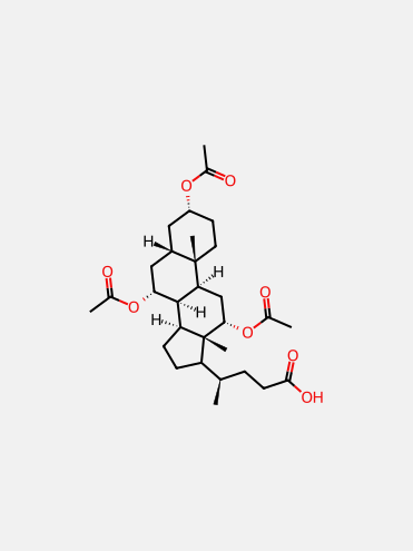 CC(=O)O[C@@H]1CC[C@@]2(C)[C@@H](C1)C[C@@H](OC(C)=O)[C@H]1[C@@H]2C[C@H](OC(C)=O)[C@]2(C)C([C@H](C)CCC(=O)O)CC[C@@H]12